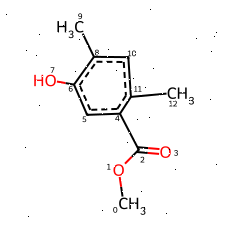 COC(=O)c1cc(O)c(C)cc1C